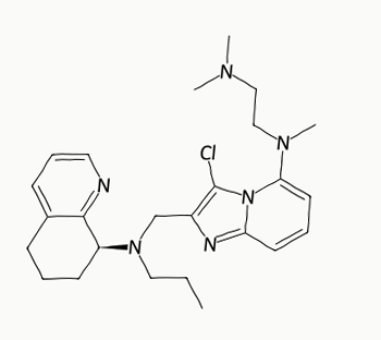 CCCN(Cc1nc2cccc(N(C)CCN(C)C)n2c1Cl)[C@H]1CCCc2cccnc21